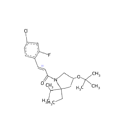 CCC1(C(C)C)CC(OC(C)(C)C)CN1C(=O)/C=C/c1ccc(Cl)cc1F